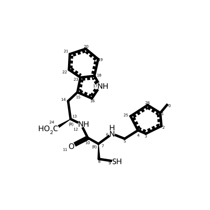 Cc1ccc(CN[C@@H](CS)C(=O)N[C@H](Cc2c[nH]c3ccccc23)C(=O)O)cc1